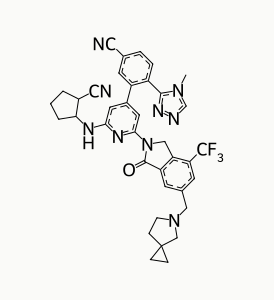 Cn1cnnc1-c1ccc(C#N)cc1-c1cc(NC2CCCC2C#N)nc(N2Cc3c(cc(CN4CCC5(CC5)C4)cc3C(F)(F)F)C2=O)c1